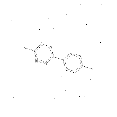 Cc1ccc(-c2ccc(C)nn2)cc1